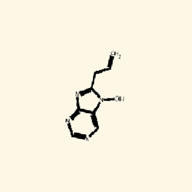 C=CCc1nc2ncncc2n1O